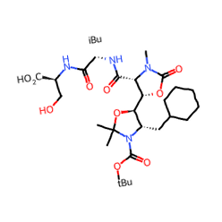 CC[C@H](C)[C@H](NC(=O)[C@H]1[C@@H]([C@@H]2OC(C)(C)N(C(=O)OC(C)(C)C)[C@H]2CC2CCCCC2)OC(=O)N1C)C(=O)N[C@@H](CO)C(=O)O